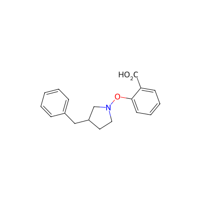 O=C(O)c1ccccc1ON1CCC(Cc2ccccc2)C1